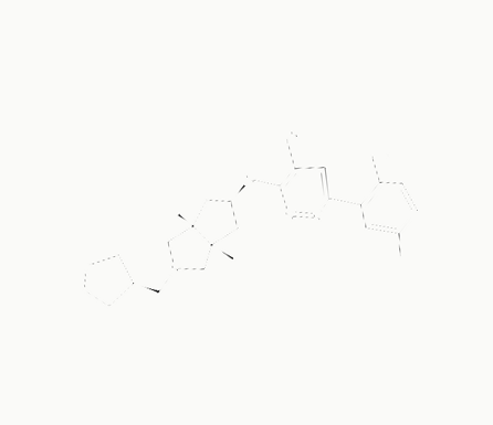 Cc1ccc(F)cc1-c1cc(C#N)c(N[C@H]2C[C@@H]3CN(C[C@H]4CCOC4)C[C@@H]3C2)nn1